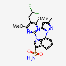 COc1nc(-n2cc(S(N)(=O)=O)c3cccc(-n4ccc(C)n4)c32)nc(OC)c1CC(F)F